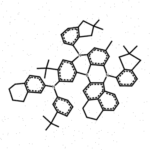 Cc1cc2c3c(c1)N(c1cccc4c1CC(C)(C)C4)c1c(cc4c5c(cccc15)CCC4)B3c1cc(N(c3cccc(C(C)(C)C)c3)c3ccc4c(c3)CCCC4)c(C(C)(C)C)cc1N2c1cccc2c1CC(C)(C)C2